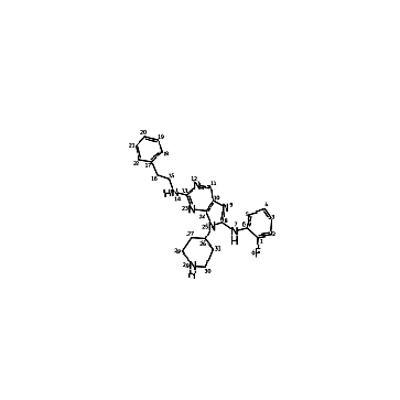 Fc1ccccc1Nc1nc2cnc(NCCc3ccccc3)nc2n1C1CCNCC1